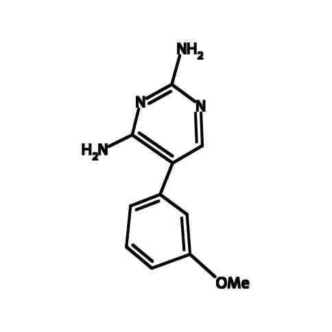 COc1cccc(-c2cnc(N)nc2N)c1